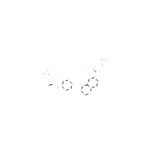 C=C(Nc1ccc(Oc2ccnc3cc(OC)c(C(=O)NC4CC4)cc23)cc1Cl)NC1CC1